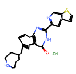 Cl.O=c1[nH]c(-c2cc3ccsc3cn2)nc2ccc(C3CCNCC3)cc12